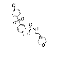 Cc1ccc(S(=O)(=O)c2ccc(Cl)cc2)cc1S(=O)(=O)NCCN1CCOCC1